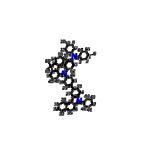 Cc1ccc(N(c2ccc(C)cc2)c2ccc(N(c3ccc(-c4ccc5c(c4)c4c6ccccc6ccc4n5-c4ccccc4)cc3)c3cccc4c3-c3ccccc3C4(C)C)cc2)cc1